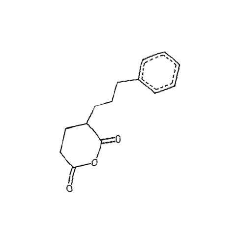 O=C1CCC(CCCc2ccccc2)C(=O)O1